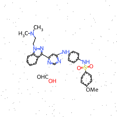 COc1ccc(S(=O)(=O)Nc2ccc(Nc3cc(-c4nn(CCN(C)C)c5ccccc45)ncn3)cc2)cc1.O=CO